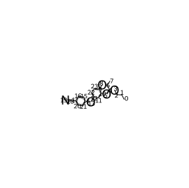 CCCOC(=O)C(C)Oc1ccc(Oc2ccc(C#N)cc2)cc1